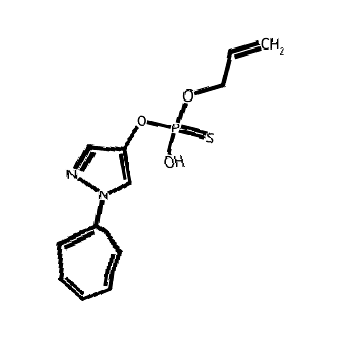 C=CCOP(O)(=S)Oc1cnn(-c2ccccc2)c1